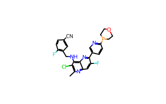 Cc1nc2cc(F)c(-c3ccc(P4CCOCC4)nc3)nc2c(NCc2cc(C#N)ccc2F)c1Cl